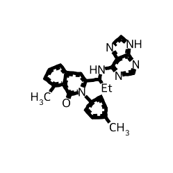 CCC(Nc1ncnc2[nH]cnc12)c1cc2cccc(C)c2c(=O)n1-c1ccc(C)cc1